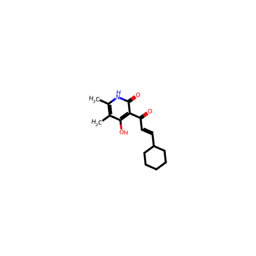 Cc1[nH]c(=O)c(C(=O)/C=C/C2CCCCC2)c(O)c1C